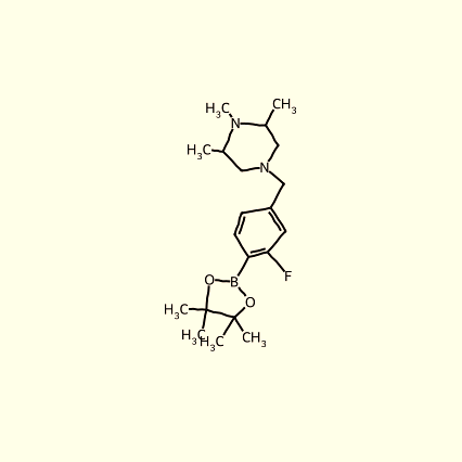 CC1CN(Cc2ccc(B3OC(C)(C)C(C)(C)O3)c(F)c2)CC(C)N1C